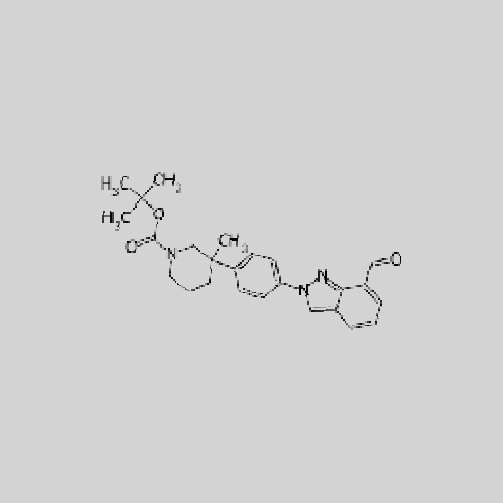 CC(C)(C)OC(=O)N1CCCC(C)(c2ccc(-n3cc4cccc(C=O)c4n3)cc2)C1